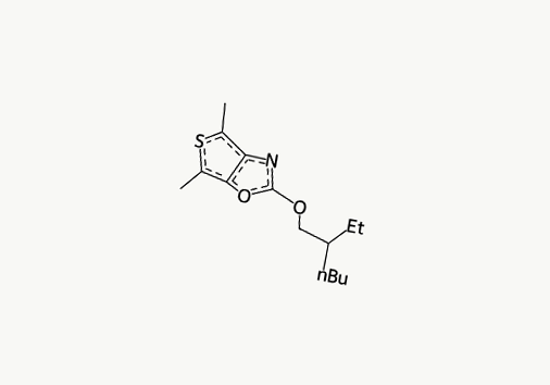 CCCCC(CC)COc1nc2c(C)sc(C)c2o1